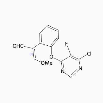 CO/C=C(/[C]=O)c1ccccc1Oc1ncnc(Cl)c1F